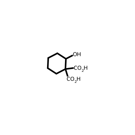 O=C(O)C1(C(=O)O)CCCCC1O